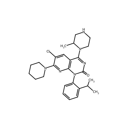 CC(C)c1ccccc1-n1c(=O)nc(N2CCNCC2C)c2cc(Cl)c(N3CCCCC3)nc21